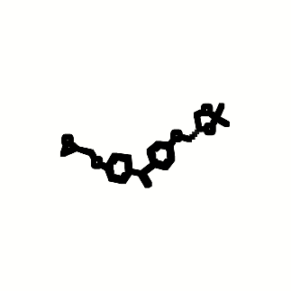 C=C(c1ccc(OC[C@H]2CO2)cc1)c1ccc(OC[C@@H]2COC(C)(C)O2)cc1